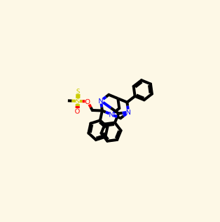 CS(=O)(=S)OCC1(c2ccccc2)N2CC3CN1C(c1ccccc1)N(C2)C3c1ccccc1